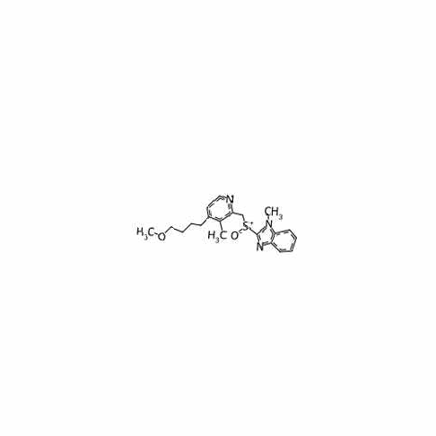 COCCCCc1ccnc(C[S+]([O-])c2nc3ccccc3n2C)c1C